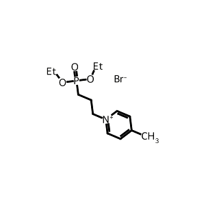 CCOP(=O)(CCC[n+]1ccc(C)cc1)OCC.[Br-]